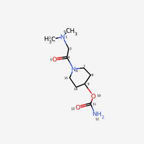 CN(C)CC(=O)N1CCC(OC(N)=O)CC1